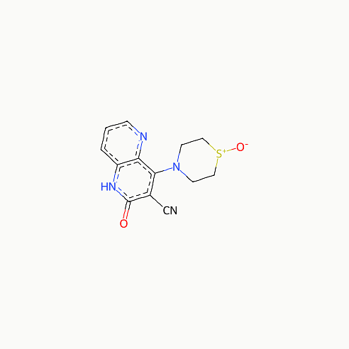 N#Cc1c(N2CC[S+]([O-])CC2)c2ncccc2[nH]c1=O